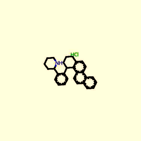 Cl.c1ccc(C2CCCc3ccc4c(ccc5ccccc54)c32)c(C2CCCCN2)c1